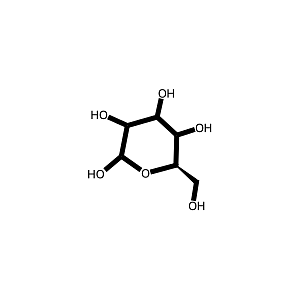 OC[C@H]1OC(O)C(O)C(O)C1O